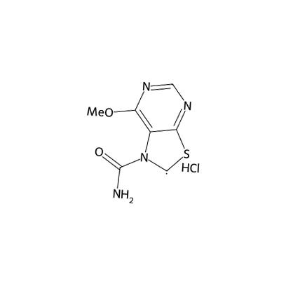 COc1ncnc2c1N(C(N)=O)[CH]S2.Cl